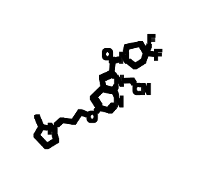 CC1CCCN1CCCOc1cnc2c(c1)cc(C(=O)N1CCC(F)(F)CC1)n2CC#N